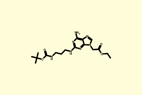 CCOC(=O)Cn1cnc2c(N)nc(NCCCNC(=O)OC(C)(C)C)nc21